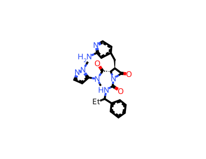 CCC(NC(=O)N1C(=O)[C@H](Cc2ccnc(N)c2)[C@H]1C(=O)N(C)c1ccnn1C)c1ccccc1